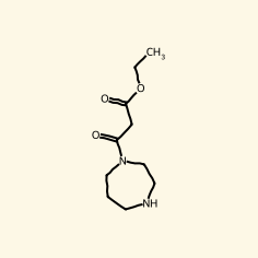 CCOC(=O)CC(=O)N1CCCNCC1